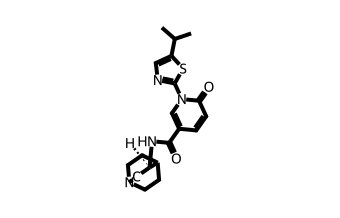 CC(C)c1cnc(-n2cc(C(=O)N[C@@H]3CN4CCC3CC4)ccc2=O)s1